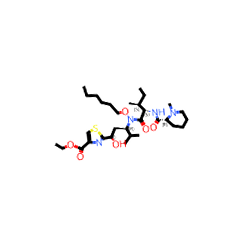 CCCCCCON(C(=O)[C@@H](NC(=O)[C@H]1CCCCN1C)[C@@H](C)CC)[C@H](C[C@@H](O)c1nc(C(=O)OCC)cs1)C(C)C